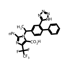 CCCc1nc(C(F)(F)C(F)(F)F)c(C(=O)O)n1C(C)c1ccc(-c2ccccc2)c(-c2nnn[nH]2)c1